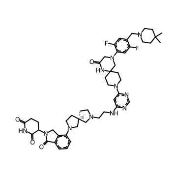 CC1(C)CCN(Cc2cc(F)c(N3CC(=O)NC4(CCN(c5cc(NCCN6CC[C@]7(CCN(c8cccc9c8CN(C8CCC(=O)NC8=O)C9=O)C7)C6)ncn5)CC4)C3)cc2F)CC1